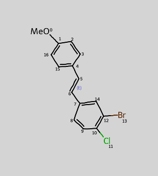 COc1ccc(/C=C/c2ccc(Cl)c(Br)c2)cc1